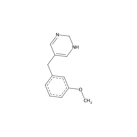 COc1cccc(CC2=CNCN=C2)c1